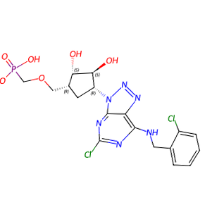 O=P(O)(O)COC[C@H]1C[C@@H](n2nnc3c(NCc4ccccc4Cl)nc(Cl)nc32)[C@H](O)[C@H]1O